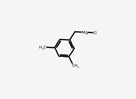 Cc1cc(C)cc([CH2][Mg][Cl])c1